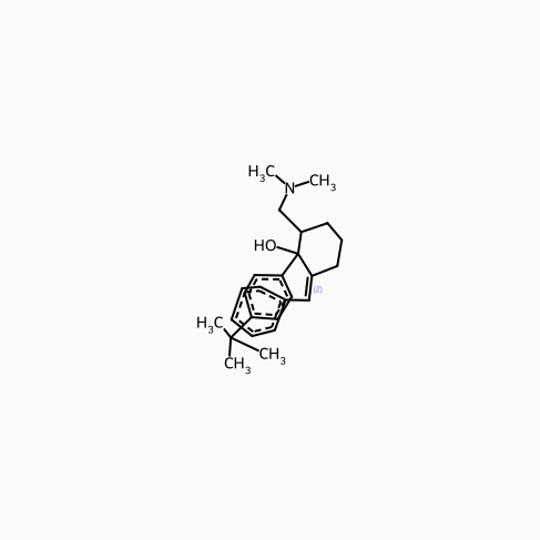 CN(C)CC1CCC/C(=C/c2ccccc2)C1(O)c1ccc(C(C)(C)C)cc1